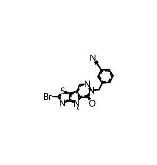 Cn1c2nc(Br)sc2c2cnn(Cc3cccc(C#N)c3)c(=O)c21